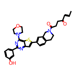 CC=CC(=O)CCC(=O)N1CCc2ccc(-c3cc4nc(-c5cccc(O)c5)nc(N5CCOCC5)c4s3)cc2C1